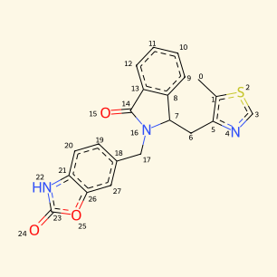 Cc1scnc1CC1c2ccccc2C(=O)N1Cc1ccc2[nH]c(=O)oc2c1